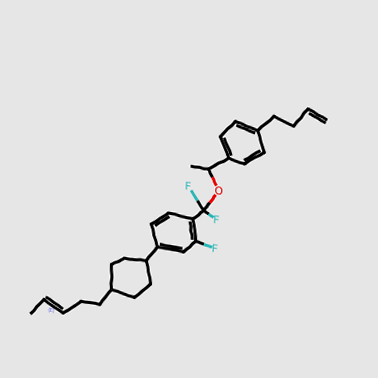 C=CCCc1ccc(C(C)OC(F)(F)c2ccc(C3CCC(CC/C=C/C)CC3)cc2F)cc1